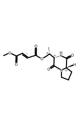 COC(=O)/C=C/C(=O)O[C@H](C)[C@@H]1NC(=O)[C@@H]2CCCN2C1=O